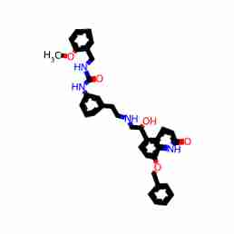 COc1ccccc1CNC(=O)Nc1cccc(CCNCC(O)c2ccc(OCc3ccccc3)c3[nH]c(=O)ccc23)c1